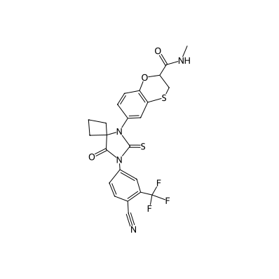 CNC(=O)C1CSc2cc(N3C(=S)N(c4ccc(C#N)c(C(F)(F)F)c4)C(=O)C34CCC4)ccc2O1